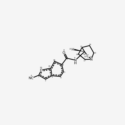 N#Cc1cc2ccc(C(=O)N[C@H]3CN4CCC3CC4)cc2o1